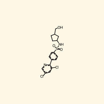 O=S(=O)(NC1CCC(CO)C1)c1ccc(-c2ncc(Cl)cc2Cl)cc1